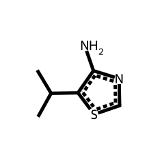 CC(C)c1scnc1N